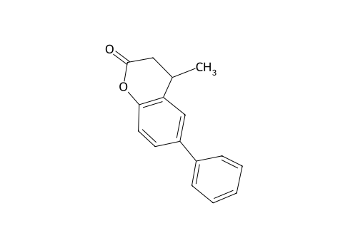 CC1CC(=O)Oc2ccc(-c3ccccc3)cc21